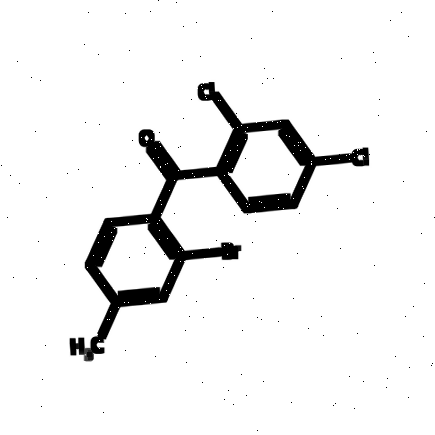 Cc1ccc(C(=O)c2ccc(Cl)cc2Cl)c(Br)c1